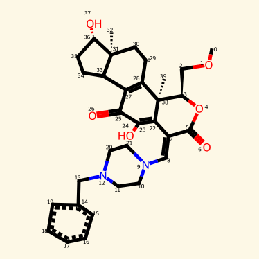 COC[C@H]1OC(=O)/C(=C/N2CCN(Cc3ccccc3)CC2)C2=C(O)C(=O)C3=C([C]C[C@@]4(C)C3CC[C@@H]4O)[C@]21C